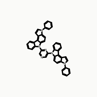 c1ccc(-n2ccc3c4c5ccccc5n(-c5cncc(-n6c7ccccc7c7c8ccn(-c9ccccc9)c8ccc76)n5)c4ccc32)cc1